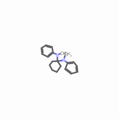 CN(c1ccccc1)C1(N(C)c2ccccc2)CCCCC1